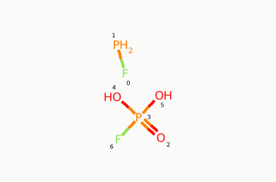 FP.O=P(O)(O)F